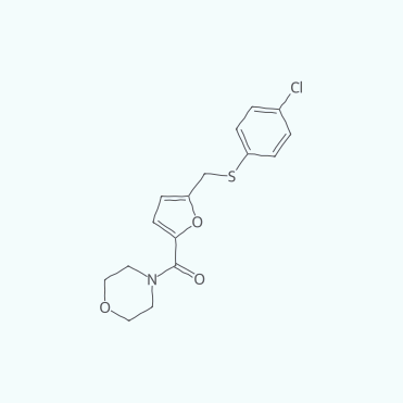 O=C(c1ccc(CSc2ccc(Cl)cc2)o1)N1CCOCC1